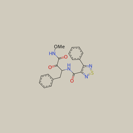 CONC(=O)C(=O)C(Cc1ccccc1)NC(=O)c1nsnc1-c1ccccc1